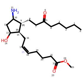 CCCCCC(=O)CC[C@H]1C(N)CC(O)[C@@H]1C/C=C\CCCC(=O)OC